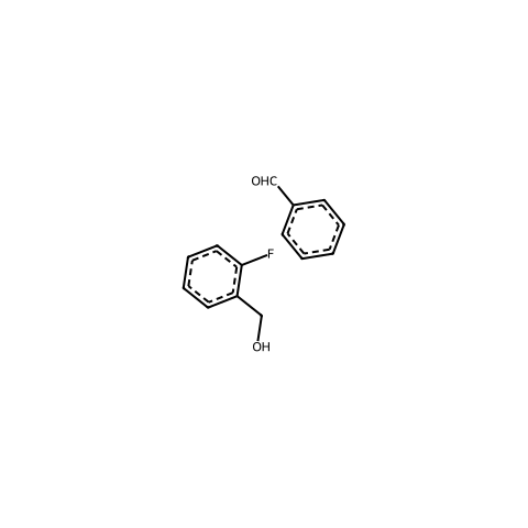 O=Cc1ccccc1.OCc1ccccc1F